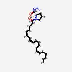 CC/C=C\C/C=C\C/C=C\C/C=C\C/C=C\CCCC(=O)N1CC[CH][C@H]1C(N)=O